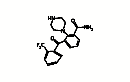 NC(=O)c1cccc(C(=O)c2ccccc2C(F)(F)F)c1N1CCNCC1